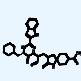 CC(=O)N1CCC2(CC1)CC(CC(C=O)NC(=O)[C@H](CC1CCCCC1)NC(=O)c1cc3ccccc3[nH]1)C(=O)N2